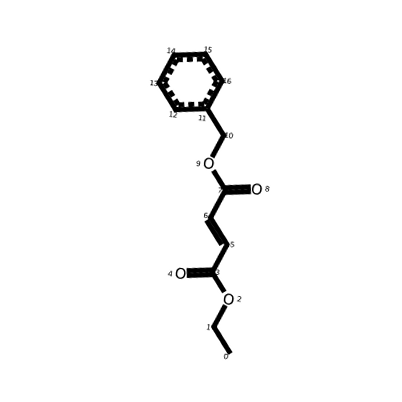 CCOC(=O)C=CC(=O)OCc1ccccc1